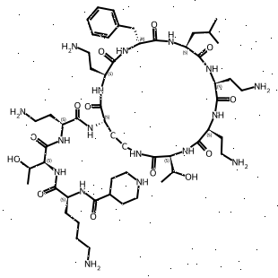 CC(C)C[C@@H]1NC(=O)[C@@H](Cc2ccccc2)NC(=O)[C@H](CCN)NC(=O)[C@@H](NC(=O)[C@H](CCN)NC(=O)[C@@H](NC(=O)[C@H](CCCCN)NC(=O)C2CCNCC2)C(C)O)CCNC(=O)[C@H](C(C)O)NC(=O)[C@H](CCN)NC(=O)[C@H](CCN)NC1=O